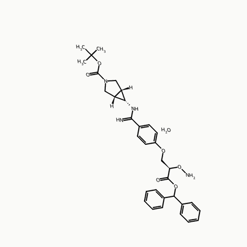 CC(C)(C)OC(=O)N1C[C@@H]2[C@H](C1)[C@@H]2NC(=N)c1ccc(OC[C@@H](ON)C(=O)OC(c2ccccc2)c2ccccc2)cc1.O